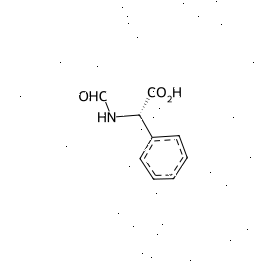 O=CN[C@H](C(=O)O)c1ccccc1